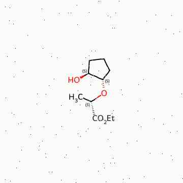 CCOC(=O)[C@H](C)O[C@H]1CCC[C@@H]1O